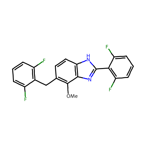 COc1c(Cc2c(F)cccc2F)ccc2[nH]c(-c3c(F)cccc3F)nc12